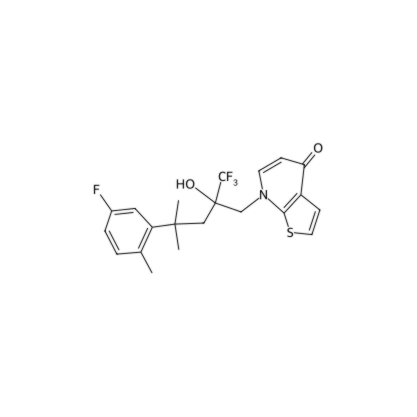 Cc1ccc(F)cc1C(C)(C)CC(O)(Cn1ccc(=O)c2ccsc21)C(F)(F)F